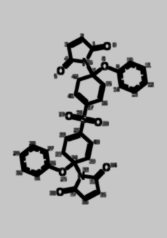 O=C1C=CC(=O)N1C1(Oc2ccccc2)C=CC(S(=O)(=O)C2=CCC(Oc3ccccc3)(N3C(=O)C=CC3=O)C=C2)=CC1